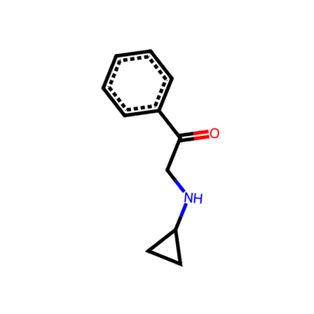 O=C(CNC1CC1)c1ccccc1